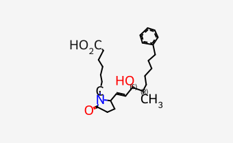 C[C@H](CCCCCc1ccccc1)[C@H](O)C=CC1CCC(=O)N1CCCCCCC(=O)O